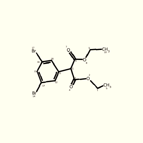 CCOC(=O)C(C(=O)OCC)c1cc(Br)cc(Br)c1